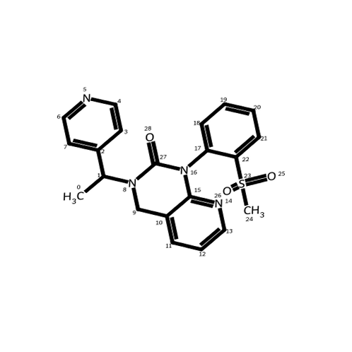 CC(c1ccncc1)N1Cc2cccnc2N(c2ccccc2S(C)(=O)=O)C1=O